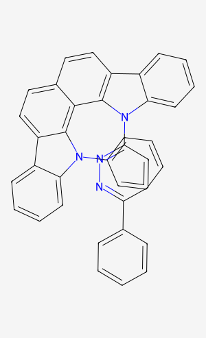 c1ccc(-c2ccc(-n3c4ccccc4c4ccc5ccc6c7ccccc7n(-c7ccccc7)c6c5c43)nn2)cc1